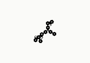 C1=c2oc3c(-c4ccccc4)c4c(cc3c2=CCC1c1ccc(N(c2ccc(-c3ccccc3)cc2)c2ccc(-c3cccc5c3sc3ccccc35)cc2)cc1)oc1ccccc14